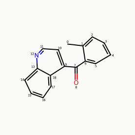 Cc1ccccc1C(=O)c1ccnc2ccccc12